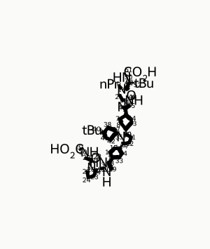 CCCN(Cc1nc(-c2ccc([C@@H]3CC[C@@H](c4ccc(C5=CNC([C@@H]6CCCN6C(=O)CNC(=O)O)N5)cc4)N3c3ccc(C(C)(C)C)cc3)cc2)c[nH]1)C(=O)[C@@H](NC(=O)O)C(C)(C)C